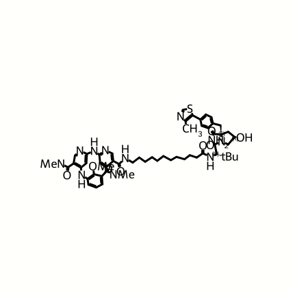 CNC(=O)c1cnc(Nc2ccc(C(=O)NCCCCCCCCCCCC(=O)N[C@H](C(=O)N3C[C@H](O)C[C@@]3(Cc3ccc(-c4scnc4C)cc3)C(N)=O)C(C)(C)C)cn2)cc1Nc1cccc(C(=O)NC)c1OC